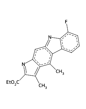 CCOC(=O)C1=Nc2cc3c(c(C)c2=C1C)-c1cccc(F)c1N=3